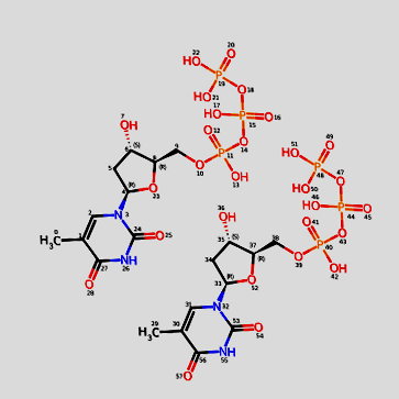 Cc1cn([C@H]2C[C@H](O)[C@@H](COP(=O)(O)OP(=O)(O)OP(=O)(O)O)O2)c(=O)[nH]c1=O.Cc1cn([C@H]2C[C@H](O)[C@@H](COP(=O)(O)OP(=O)(O)OP(=O)(O)O)O2)c(=O)[nH]c1=O